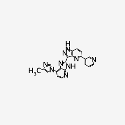 Cc1cn(-c2ccnc3[nH]c(-c4n[nH]c5ccc(-c6cccnc6)nc45)nc23)cn1